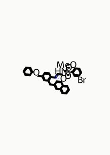 COc1ccc(Br)cc1S(=O)(=O)NC(=O)/C=C/c1ccc(COc2ccccc2)cc1Cc1ccc2ccccc2c1